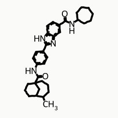 CC1CCCC2(C(=O)Nc3ccc(-c4nc5cc(C(=O)NC6CCCCCC6)ccc5[nH]4)cc3)CCCC1C2